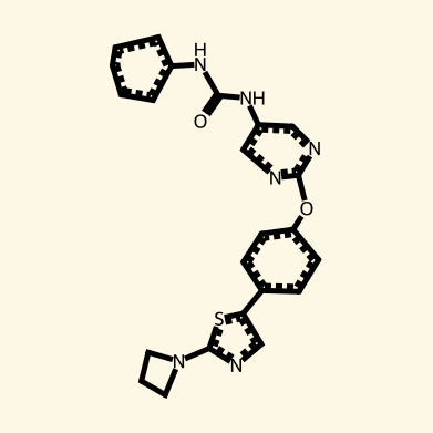 O=C(Nc1ccccc1)Nc1cnc(Oc2ccc(-c3cnc(N4CCC4)s3)cc2)nc1